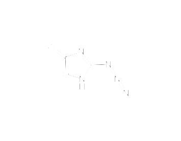 [N-]=[N+]=Nc1nc(=O)o[nH]1